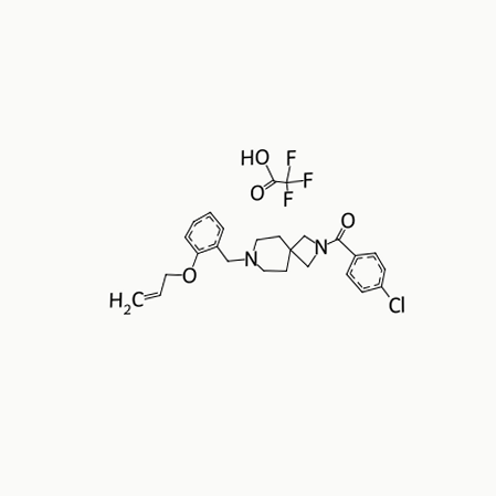 C=CCOc1ccccc1CN1CCC2(CC1)CN(C(=O)c1ccc(Cl)cc1)C2.O=C(O)C(F)(F)F